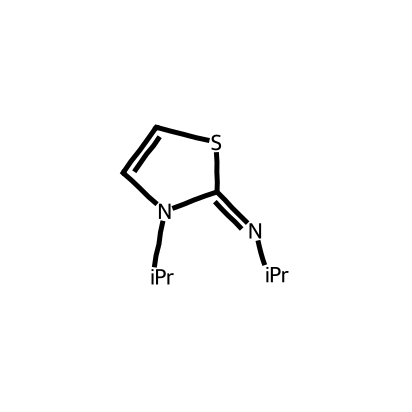 CC(C)/N=c1/sccn1C(C)C